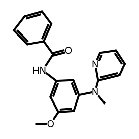 COc1cc(NC(=O)c2ccccc2)cc(N(C)c2ccccn2)c1